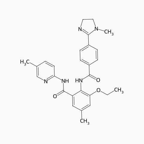 CCOc1cc(C)cc(C(=O)Nc2ccc(C)cn2)c1NC(=O)c1ccc(C2=NCCN2C)cc1